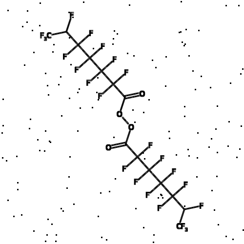 O=C(OOC(=O)C(F)(F)C(F)(F)C(F)(F)C(F)(F)C(F)C(F)(F)F)C(F)(F)C(F)(F)C(F)(F)C(F)(F)C(F)C(F)(F)F